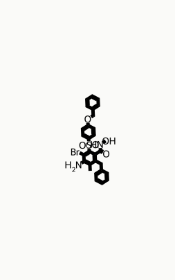 Cc1c(N)c(Br)c(S(=O)(=O)c2ccc(OCc3ccccc3)cc2)c(C(=O)NO)c1Cc1ccccc1